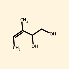 CC=C(C)C(O)CO